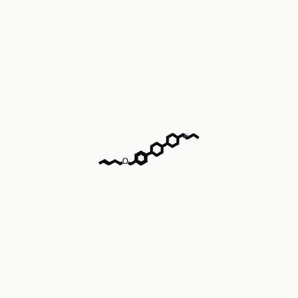 CC=CCCOCc1ccc(C2CCC(C3CCC(/C=C/CC)CC3)CC2)cc1